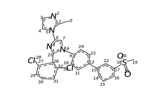 Cc1nccn1-c1cn(-c2ccc(-c3cccc(S(C)(=O)=O)c3)cc2)c(-c2c(Cl)cccc2Cl)n1